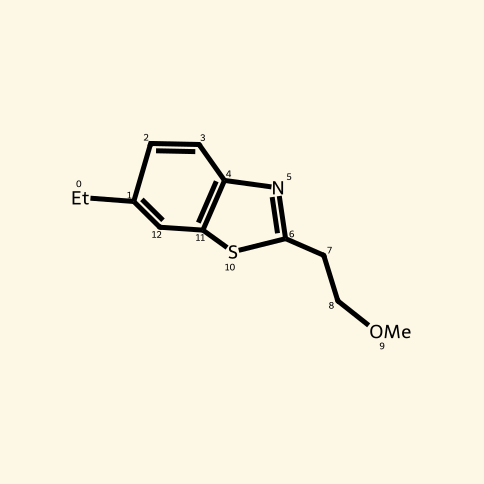 CCc1ccc2nc(CCOC)sc2c1